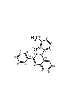 Cc1cccc2c1oc1c(-c3ccccc3)cc3ccccc3c12